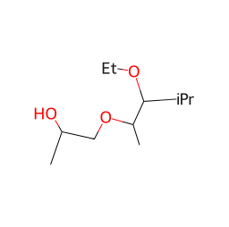 CCOC(C(C)C)C(C)OCC(C)O